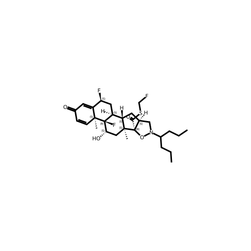 CCCC(CCC)N1C[C@@H]2C[C@H]3[C@@H]4C[C@H](F)C5=CC(=O)C=C[C@]5(C)[C@@]4(F)[C@@H](O)C[C@]3(C)[C@]2(C(=O)SCF)O1